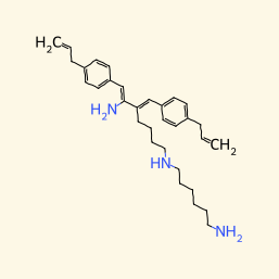 C=CCc1ccc(C=C(N)C(=Cc2ccc(CC=C)cc2)CCCCNCCCCCCN)cc1